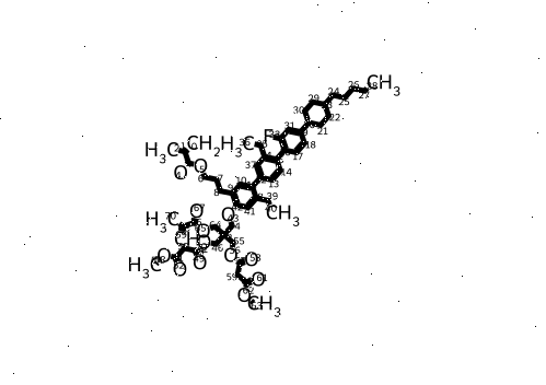 C=C(C)C(=O)OCCCc1cc(-c2ccc(-c3ccc(C4CCC(CCCCC)CC4)cc3F)c(CC)c2)c(CC)cc1OCC(COC(=O)CC(=O)OC)(COC(=O)CC(=O)OC)COC(=O)C(=C)C